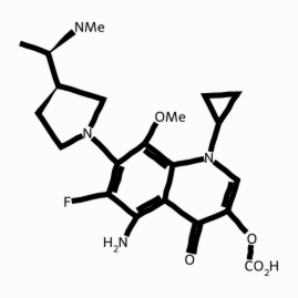 CN[C@H](C)[C@@H]1CCN(c2c(F)c(N)c3c(=O)c(OC(=O)O)cn(C4CC4)c3c2OC)C1